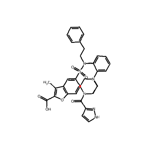 Cc1c(C(=O)O)oc2ccc(S(=O)(=O)N(CCc3ccccc3)c3ccccc3N3CCN(C(=O)c4cc[nH]n4)CC3)cc12